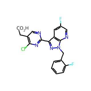 O=C(O)Cc1cnc(-c2nn(Cc3ccccc3F)c3ncc(F)cc23)nc1Cl